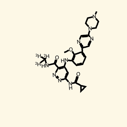 [2H]C([2H])([2H])NC(=O)c1nnc(NC(=O)C2CC2)cc1Nc1cccc(-c2cnc(N3CCN(C)CC3)cn2)c1OC